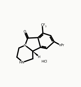 CCCc1cc2c(c(C(F)(F)F)c1)C(=O)N1CCNC[C@@H]21.Cl